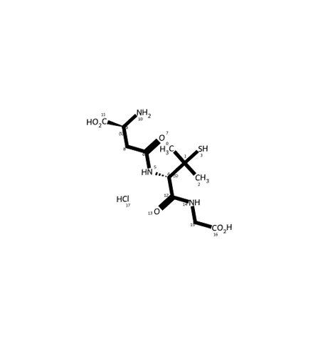 CC(C)(S)[C@@H](NC(=O)C[C@H](N)C(=O)O)C(=O)NCC(=O)O.Cl